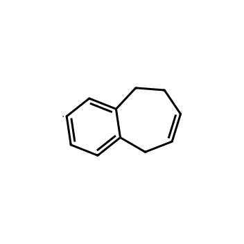 [c]1ccc2c(c1)CCC=CC2